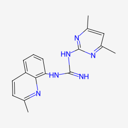 Cc1cc(C)nc(NC(=N)Nc2cccc3ccc(C)nc23)n1